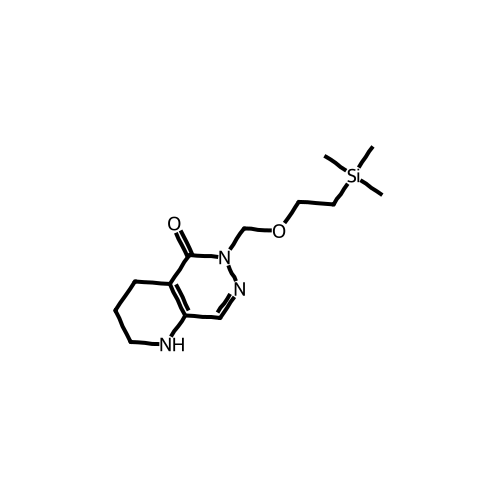 C[Si](C)(C)CCOCn1ncc2c(c1=O)CCCN2